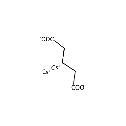 O=C([O-])CCCC(=O)[O-].[Cs+].[Cs+]